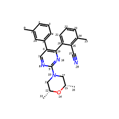 Cc1cccc(-c2cnc(N3C[C@@H](C)O[C@@H](C)C3)nc2-c2cccc(C)c2C#N)c1